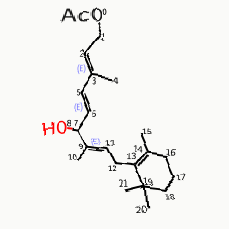 CC(=O)OC/C=C(C)/C=C/C(O)/C(C)=C/CC1=C(C)CCCC1(C)C